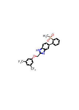 CS(=O)(=O)c1ccccc1-c1ccc2[nH]c(COc3cc(C(F)(F)F)cc(C(F)(F)F)c3)nc2c1